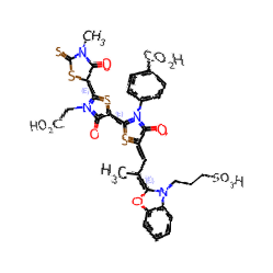 C/C(C=c1s/c(=c2/s/c(=C3/SC(=S)N(C)C3=O)n(CC(=O)O)c2=O)n(-c2ccc(C(=O)O)cc2)c1=O)=C1\Oc2ccccc2N1CCCS(=O)(=O)O